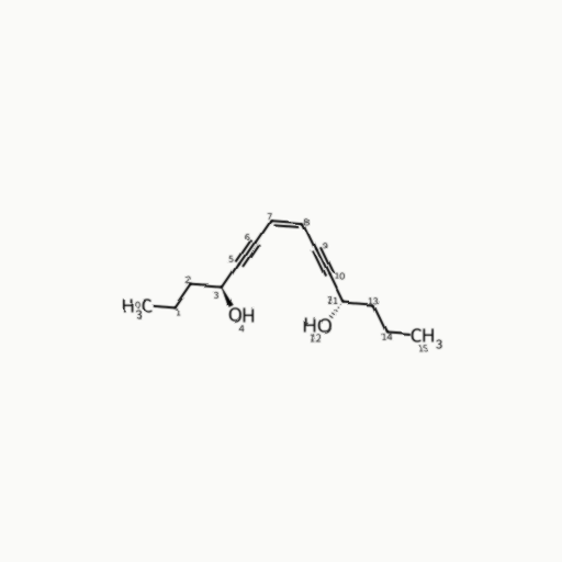 CCC[C@H](O)C#C/C=C\C#C[C@@H](O)CCC